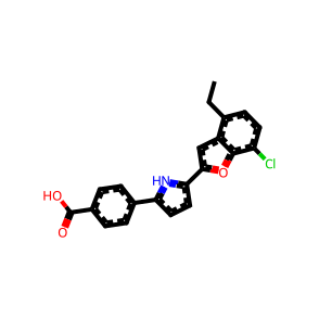 CCc1ccc(Cl)c2oc(-c3ccc(-c4ccc(C(=O)O)cc4)[nH]3)cc12